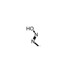 [CH2]N=NO